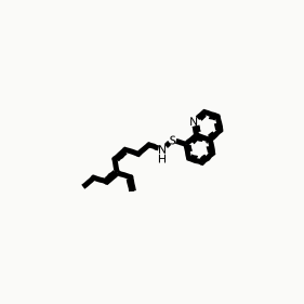 C=CC(/C=C\CCNSc1cccc2cccnc12)=C/CC